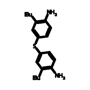 CCC(C)c1cc(Sc2ccc(N)c(C(C)CC)c2)ccc1N